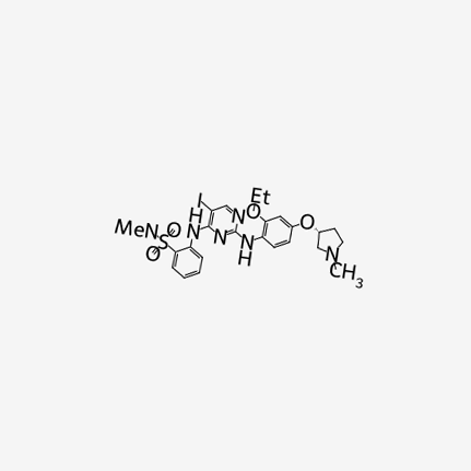 CCOc1cc(O[C@@H]2CCN(C)C2)ccc1Nc1ncc(I)c(Nc2ccccc2S(=O)(=O)NC)n1